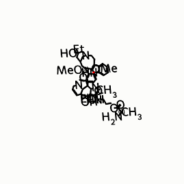 CCC1(O)CC2CN(CCc3c([nH]c4ccccc34)[C@@](C(=O)OC)(c3cc4c(cc3OC)N(C)C3C45CCN4CC=CC(CC)(C45)[C@@H](O)[C@]3(O)C(=O)NCCCOC(=O)[C@H](C)N)C2)C1